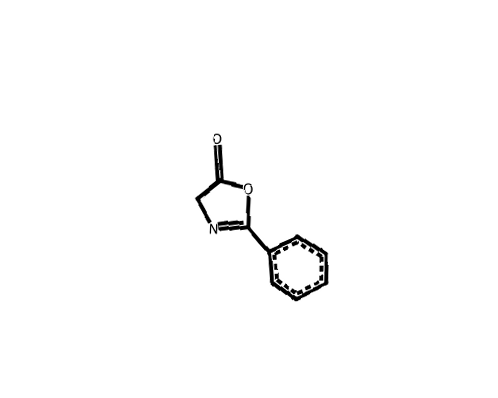 O=C1CN=C(c2ccccc2)O1